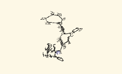 COc1ccc(/C=C2\SC(=S)NC2=O)cc1C#CC1CCCCC1